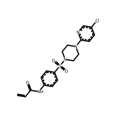 C=CC(=O)Nc1ccc(S(=O)(=O)N2CCN(c3ccc(Cl)cn3)CC2)cc1